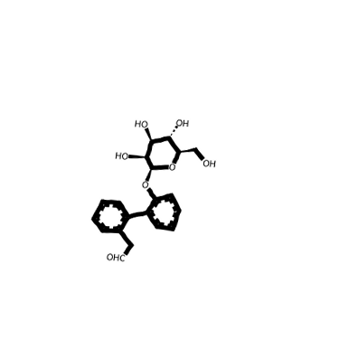 O=CCc1ccccc1-c1ccccc1O[C@@H]1O[C@H](CO)[C@@H](O)[C@H](O)[C@@H]1O